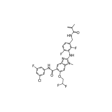 C=C(C)C(=O)NCc1ccc(F)c(Nc2nc3cc(C(=O)Nc4cc(F)cc(Cl)c4)c(OCC(F)F)cc3n2C)c1F